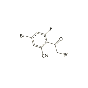 N#Cc1cc(Br)cc(F)c1C(=O)CBr